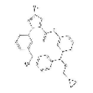 NCc1cccc(-n2nc(C(F)(F)F)cc2C(=O)NC2=CC(C(OCC3CC3)c3ccccc3)CC=C2)c1